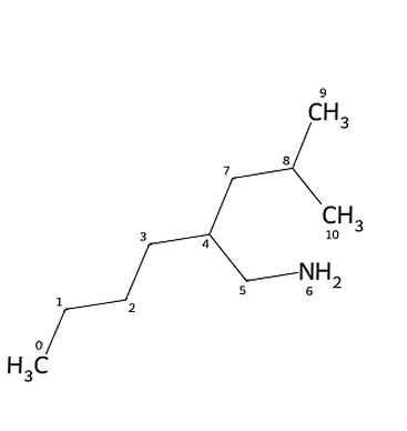 CCCCC(CN)CC(C)C